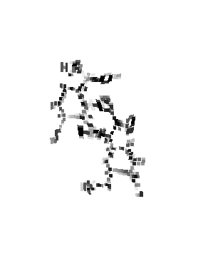 CCc1cc(C(Nc2cc(C(N)=O)ccc2F)C(=O)O)ccc1F